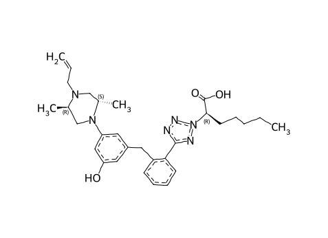 C=CCN1C[C@H](C)N(c2cc(O)cc(Cc3ccccc3-c3nnn([C@H](CCCCC)C(=O)O)n3)c2)C[C@H]1C